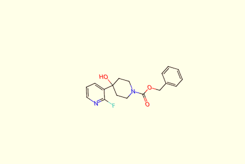 O=C(OCc1ccccc1)N1CCC(O)(c2cccnc2F)CC1